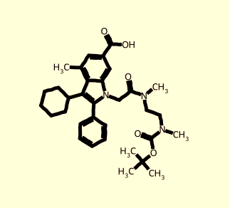 Cc1cc(C(=O)O)cc2c1c(C1CCCCC1)c(-c1ccccc1)n2CC(=O)N(C)CCN(C)C(=O)OC(C)(C)C